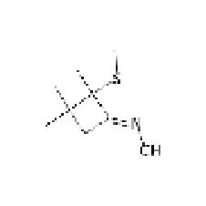 CSC1(C)/C(=N/O)CC1(C)C